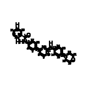 O=C(Nc1ccc(-c2ccnc(Nc3ccc(N4CCOCC4)cc3)n2)cc1)[C@H]1CNCCN1